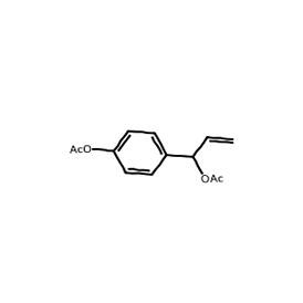 C=CC(OC(C)=O)c1ccc(OC(C)=O)cc1